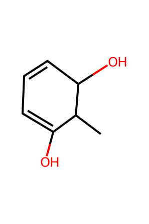 CC1C(O)=CC=CC1O